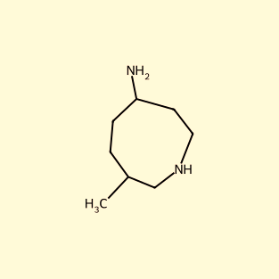 CC1CCC(N)CCNC1